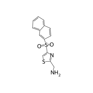 NCc1nc(S(=O)(=O)c2ccc3ccccc3c2)cs1